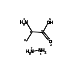 CC(N)C(=O)O.NN